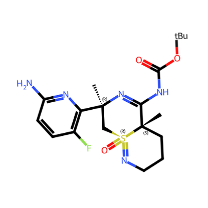 CC(C)(C)OC(=O)NC1=N[C@](C)(c2nc(N)ccc2F)C[S@]2(=O)=NCCC[C@@]12C